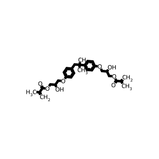 C=C(C)C(=O)OCC(O)COc1ccc(CC(C)(C)c2ccc(OCC(O)COC(=O)C(=C)C)cc2)cc1